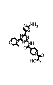 CC1COCCN1c1nc(NC(=O)C2CCN(C(=O)[C@@H](C)O)CC2)nc(-c2cnc(N)s2)n1